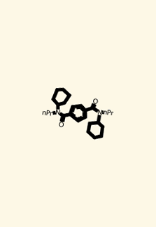 CCCN(C(=O)c1ccc(C(=O)N(CCC)C2CCCCC2)cc1)C1CCCCC1